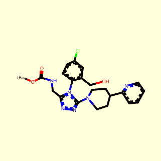 CC(C)(C)OC(=O)NCc1nnc(N2CCC(c3ccccn3)CC2)n1-c1ccc(Cl)cc1CO